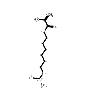 C=C(C)C(=O)OCCCCCCO[C@H](C)O